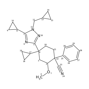 COC1CC(c2nc(C3CC3)n(CC3CC3)n2)(C2CC2)CCC1(C#N)c1ccccc1